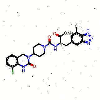 COC(=O)[C@@H](Cc1cc(C)c2[nH]nnc2c1)NC(=O)N1CCC(N2Cc3cccc(F)c3NC2=O)CC1